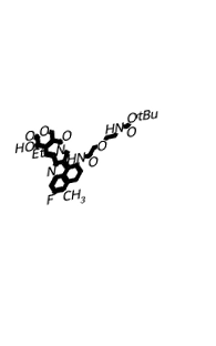 CC[C@@]1(O)C(=O)OCc2c1cc1n(c2=O)Cc2c-1nc1cc(F)c(C)c3c1c2[C@@H](NC(=O)COCCNC(=O)OC(C)(C)C)CC3